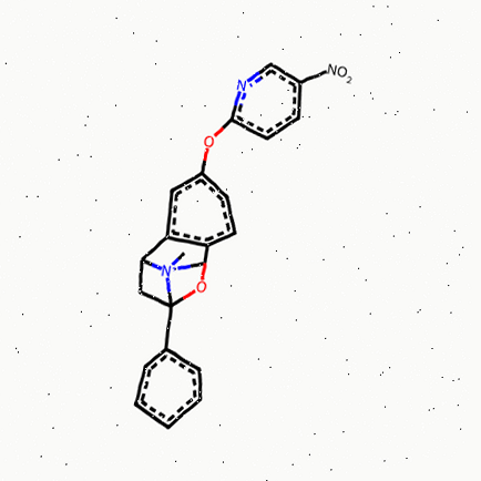 C[N+]1(C)C2CC1(c1ccccc1)Oc1ccc(Oc3ccc([N+](=O)[O-])cn3)cc12